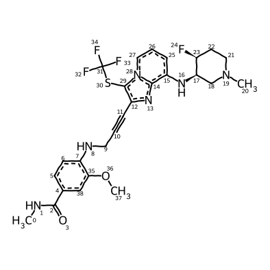 CNC(=O)c1ccc(NCC#Cc2nc3c(N[C@@H]4CN(C)CC[C@@H]4F)cccn3c2SC(F)(F)F)c(OC)c1